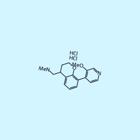 CNCC1CCOc2c(-c3ccncc3OC)cccc21.Cl.Cl